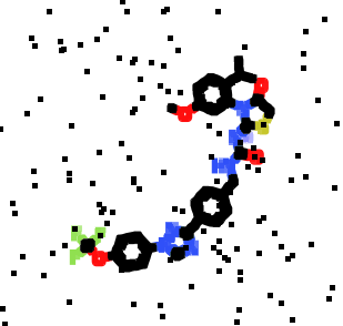 COc1ccc(C(C)C)c(N2C(=O)CS/C2=N\C(=O)NCc2ccc(-c3ncn(-c4ccc(OC(F)(F)F)cc4)n3)cc2)c1